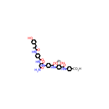 C/C(=C\c1ccc(O)cc1)C(=O)Nc1ccc(C(=O)NC(CC(N)=O)C(=O)Nc2ccc(C(=O)Nc3ccc(C(=O)Nc4ccc(C(=O)O)cc4)c(O)c3OC(C)C)cc2)cc1